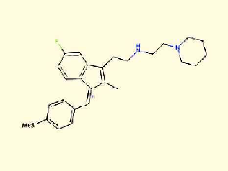 CSc1ccc(/C=C2/C(C)=C(CCNCCN3CCCCC3)c3cc(F)ccc32)cc1